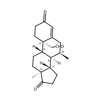 C[C@@H]1CC2=CC(=O)CC[C@]2(CC=O)[C@H]2CC[C@]3(C)C(=O)CC[C@H]3[C@H]12